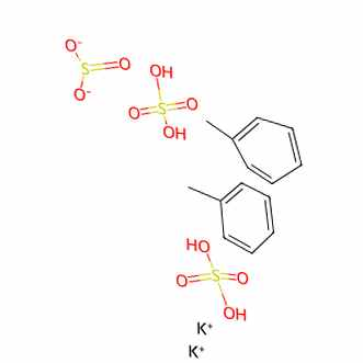 Cc1ccccc1.Cc1ccccc1.O=S(=O)(O)O.O=S(=O)(O)O.O=S([O-])[O-].[K+].[K+]